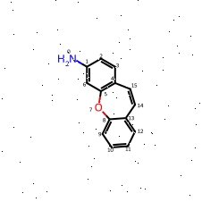 Nc1ccc2c(c1)Oc1ccccc1C=C2